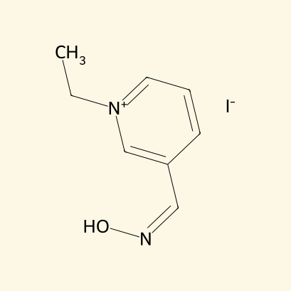 CC[n+]1cccc(/C=N\O)c1.[I-]